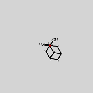 O=C(O)C1C2CCCC1C2